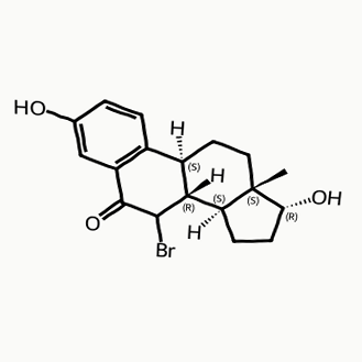 C[C@]12CC[C@@H]3c4ccc(O)cc4C(=O)C(Br)[C@H]3[C@@H]1CC[C@H]2O